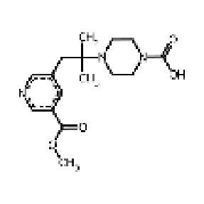 COC(=O)c1cncc(CC(C)(C)N2CCN(C(=O)O)CC2)c1